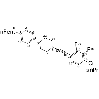 CCCCCc1ccc([C@H]2CC[C@H](C#Cc3ccc(OCCC)c(F)c3F)CC2)cc1